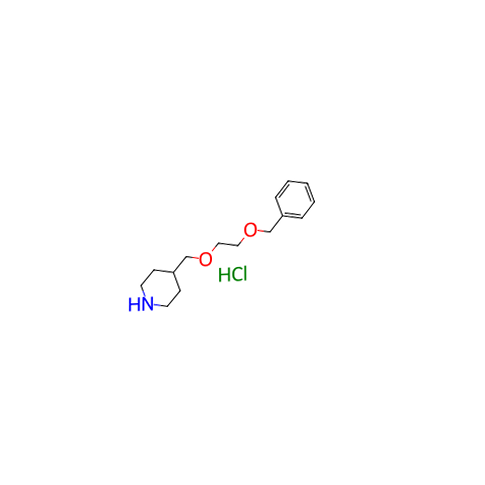 Cl.c1ccc(COCCOCC2CCNCC2)cc1